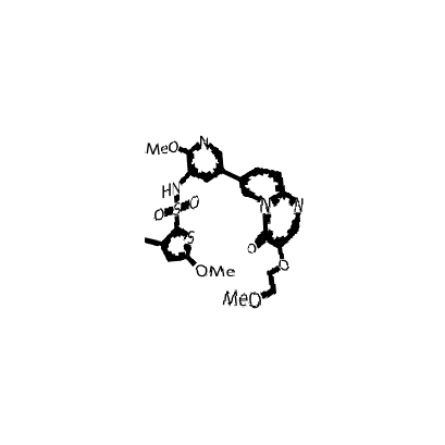 COCCOc1cnc2ccc(-c3cnc(OC)c(NS(=O)(=O)c4sc(OC)cc4C)c3)cn2c1=O